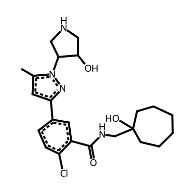 Cc1cc(-c2ccc(Cl)c(C(=O)NCC3(O)CCCCCC3)c2)nn1C1CNCC1O